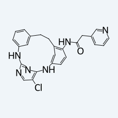 O=C(Cc1cccnc1)Nc1ccc2cc1CCc1cccc(c1)Nc1ncc(Cl)c(n1)N2